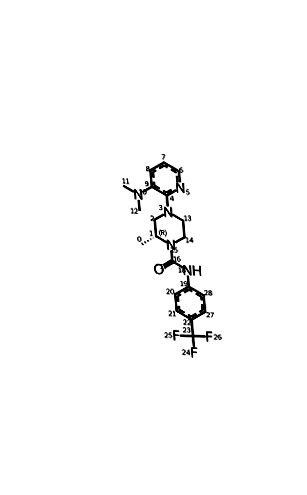 C[C@@H]1CN(c2ncccc2N(C)C)CCN1C(=O)Nc1ccc(C(F)(F)F)cc1